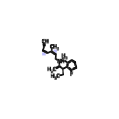 C#C/C=C\C(C)=C/CNC(=C)C(CC)c1c(C)cccc1F